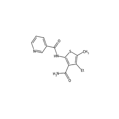 CCc1c(C)sc(NC(=O)c2cccnc2)c1C(N)=O